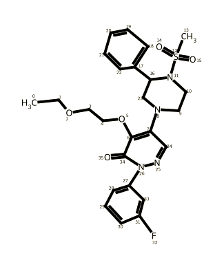 CCOCCOc1c(N2CCN(S(C)(=O)=O)C(c3ccccc3)C2)cnn(-c2cccc(F)c2)c1=O